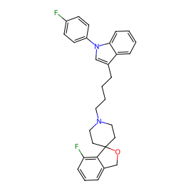 Fc1ccc(-n2cc(CCCCN3CCC4(CC3)OCc3cccc(F)c34)c3ccccc32)cc1